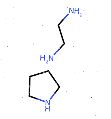 C1CCNC1.NCCN